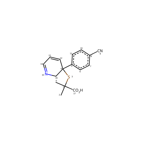 CC(C)(SC1(c2ccc(C#N)cc2)C=CC=NC1)C(=O)O